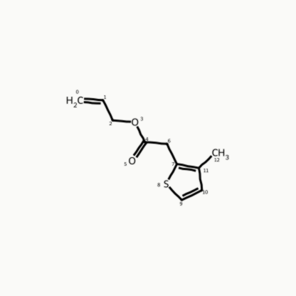 C=CCOC(=O)Cc1sccc1C